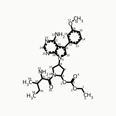 CCOC(=O)OC1CC(n2cc(-c3cccc(OC)c3)c3c(N)ncnc32)CN1C(=O)C(N)C(C)CC